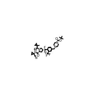 CC(C)(C)OC(=O)N1CCN(Cc2ccc(C(F)(F)[C@@H]3C[C@@H](C(=O)NC4(C#N)CC4)N(C(=O)C4(C)CC4)C3)c(C(F)(F)F)c2)CC1